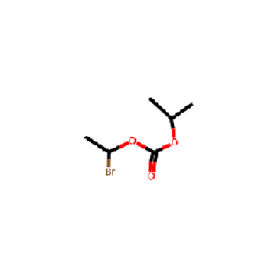 CC(C)OC(=O)OC(C)Br